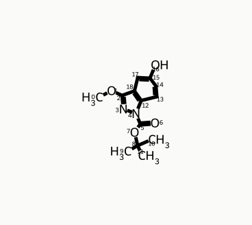 COc1nn(C(=O)OC(C)(C)C)c2ccc(O)cc12